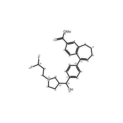 COC(=O)c1ccc2c(c1)CCCC=C2c1ccc(C(O)C2CCN(CCC(F)F)C2)cc1